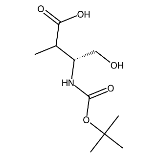 CC(C(=O)O)[C@H](CO)NC(=O)OC(C)(C)C